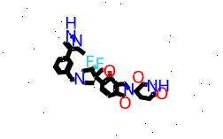 Cc1n[nH]cc1-c1cccc(CN2CC[C@@]3(COc4c3ccc3c4CN([C@H]4CCC(=O)NC4=O)C3=O)C(F)(F)C2)c1